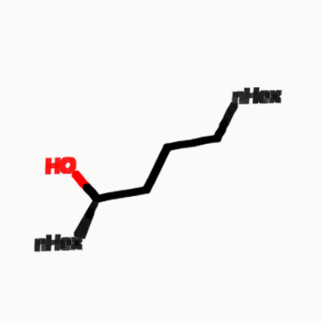 CCCCCCCCC[C@H](O)CCCCCC